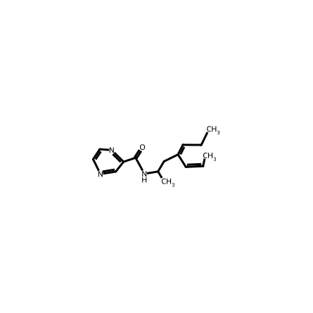 C/C=C\C(=C/CC)CC(C)NC(=O)c1cnccn1